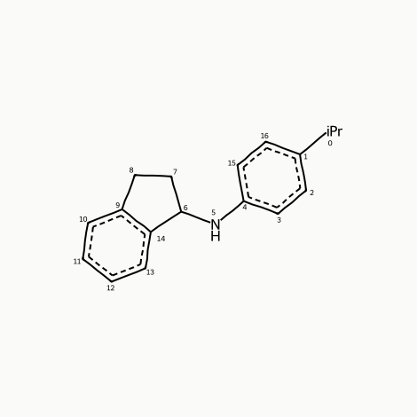 CC(C)c1ccc(NC2CCc3ccccc32)cc1